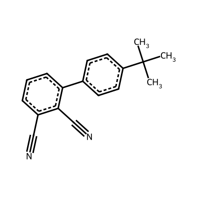 CC(C)(C)c1ccc(-c2cccc(C#N)c2C#N)cc1